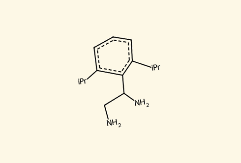 CC(C)c1cccc(C(C)C)c1C(N)CN